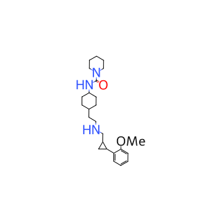 COc1ccccc1C1CC1CNCCC1CCC(NC(=O)N2CCCCC2)CC1